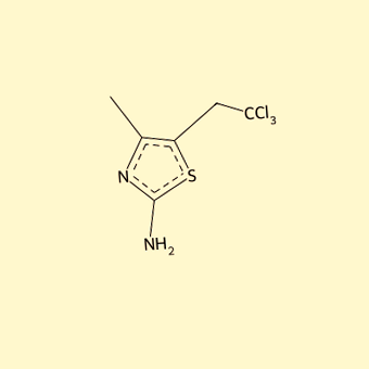 Cc1nc(N)sc1CC(Cl)(Cl)Cl